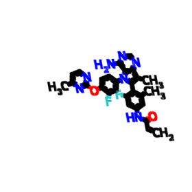 C=CC(=O)Nc1cc(C)c(-c2c(C)c3ncnc(N)c3n2-c2ccc(Oc3nccc(C)n3)c(F)c2)c(F)c1